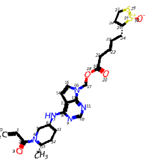 C=CC(=O)N1C[C@@H](Nc2ncnc3c2ccn3COC(=O)CCCC[C@@H]2CCS[S@+]2[O-])CC[C@@H]1C